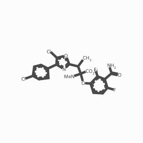 CNC(Oc1ccc(F)c(C(N)=O)c1F)(C(=O)O)C(C)c1nc(-c2ccc(Cl)cc2)c(Cl)o1